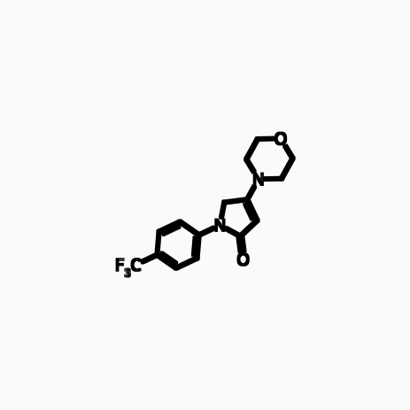 O=C1C=C(N2CCOCC2)CN1c1ccc(C(F)(F)F)cc1